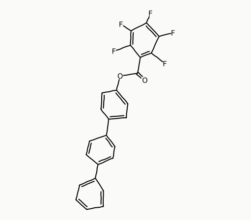 O=C(Oc1ccc(-c2ccc(-c3ccccc3)cc2)cc1)c1c(F)c(F)c(F)c(F)c1F